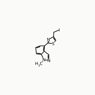 Cn1ncc2c(-c3nc(CI)cs3)cccc21